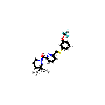 CC1(C)CCCN(C(=O)c2cccc(CSc3cccc(OC(F)(F)F)c3)n2)C1